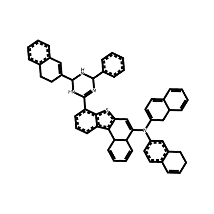 C1=CC2=CC=C(N(C3=Cc4sc5c(C6=NC(c7ccccc7)NC(C7=Cc8ccccc8CC7)N6)cccc5c4C4C=CC=CC34)c3ccc4c(c3)CCC=C4)CC2C=C1